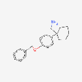 NCC1(c2ccc(OCc3ccccc3)cc2)CCCCC1